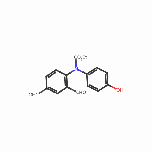 CCOC(=O)N(c1ccc(O)cc1)c1ccc(C=O)cc1C=O